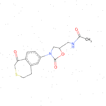 CC(=O)NCC1CN(c2ccc3c(c2)CCSCC3=O)C(=O)O1